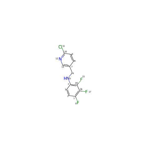 Fc1ccc(NCc2ccc(Cl)nc2)c(F)c1F